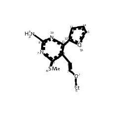 CCOC=Cc1c(SC)nc(N)nc1-c1ccco1